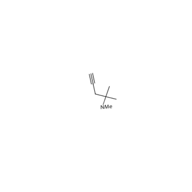 C#CCC(C)(C)NC